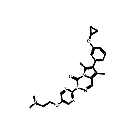 Cc1c(-c2cccc(OC3CC3)c2)c(C)n2c(=O)n(-c3ncc(OCCN(C)C)cn3)ncc12